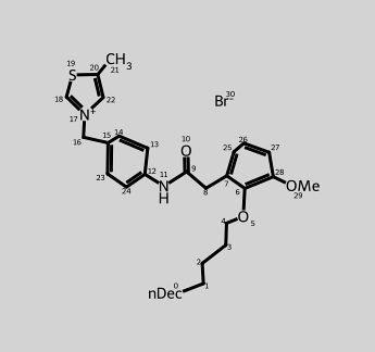 CCCCCCCCCCCCCCOc1c(CC(=O)Nc2ccc(C[n+]3csc(C)c3)cc2)cccc1OC.[Br-]